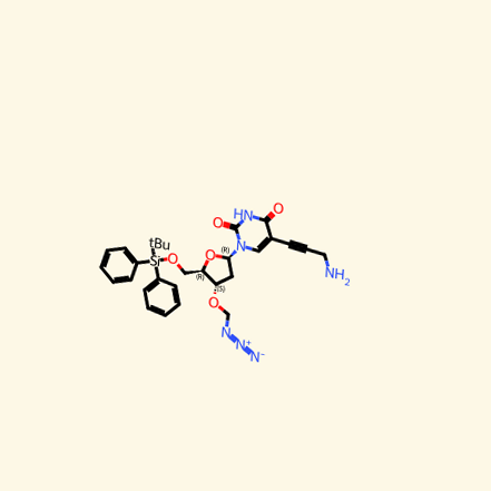 CC(C)(C)[Si](OC[C@H]1O[C@@H](n2cc(C#CCN)c(=O)[nH]c2=O)C[C@@H]1OCN=[N+]=[N-])(c1ccccc1)c1ccccc1